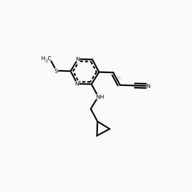 CSc1ncc(/C=C/C#N)c(NCC2CC2)n1